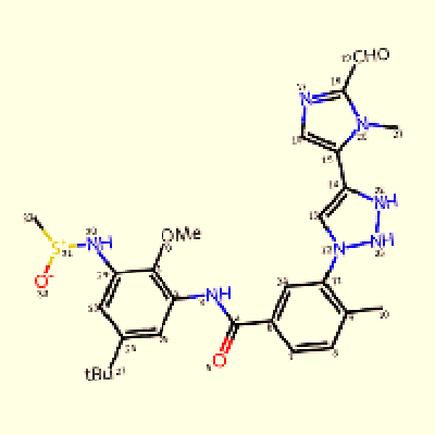 COc1c(NC(=O)c2ccc(C)c(N3C=C(c4cnc(C=O)n4C)NN3)c2)cc(C(C)(C)C)cc1N[S+](C)[O-]